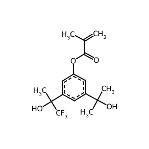 C=C(C)C(=O)Oc1cc(C(C)(C)O)cc(C(C)(O)C(F)(F)F)c1